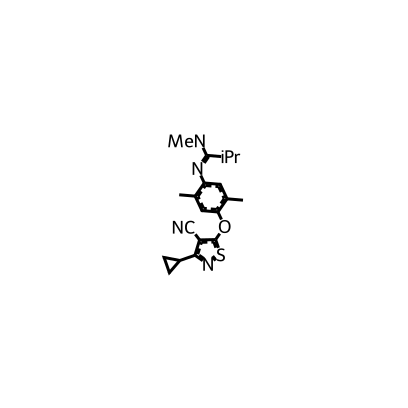 CNC(=Nc1cc(C)c(Oc2snc(C3CC3)c2C#N)cc1C)C(C)C